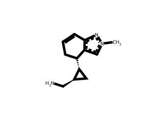 Cn1cc2c(n1)C=CCC2[C@@H]1C[C@H]1CN